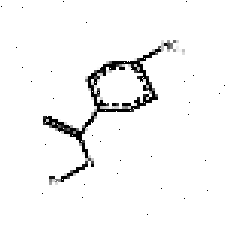 C=C(OCC)c1ccc([N+](=O)[O-])cc1